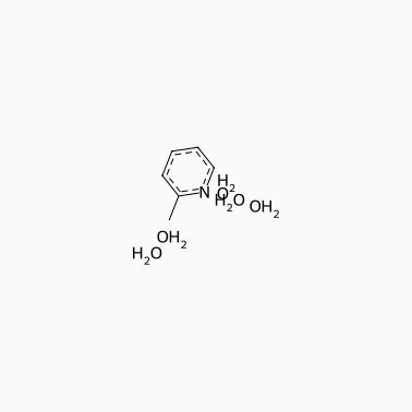 Cc1ccccn1.O.O.O.O.O